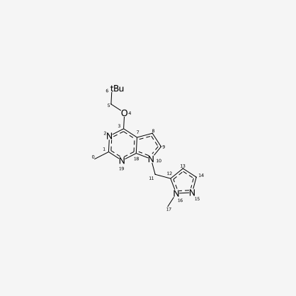 Cc1nc(OCC(C)(C)C)c2ccn(Cc3ccnn3C)c2n1